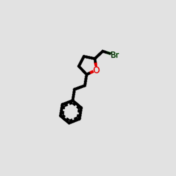 BrCC1CCC(CCc2ccccc2)O1